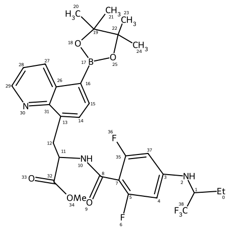 CCC(Nc1cc(F)c(C(=O)NC(Cc2ccc(B3OC(C)(C)C(C)(C)O3)c3cccnc23)C(=O)OC)c(F)c1)C(F)(F)F